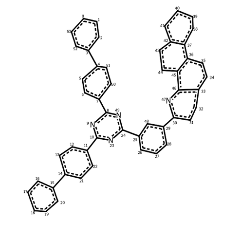 c1ccc(-c2ccc(-c3nc(-c4ccc(-c5ccccc5)cc4)nc(-c4cccc(-c5ccc6ccc7c8ccccc8ccc7c6n5)c4)n3)cc2)cc1